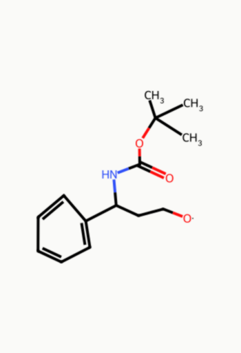 CC(C)(C)OC(=O)NC(CC[O])c1ccccc1